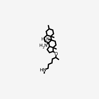 CNCCCCC(C)OC1CCC2C1(C)CCC1(N)C3(C)CCC(C)CC3CCC21N